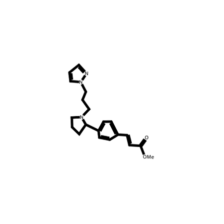 COC(=O)C=Cc1ccc(C2CCCN2CCCn2cccn2)cc1